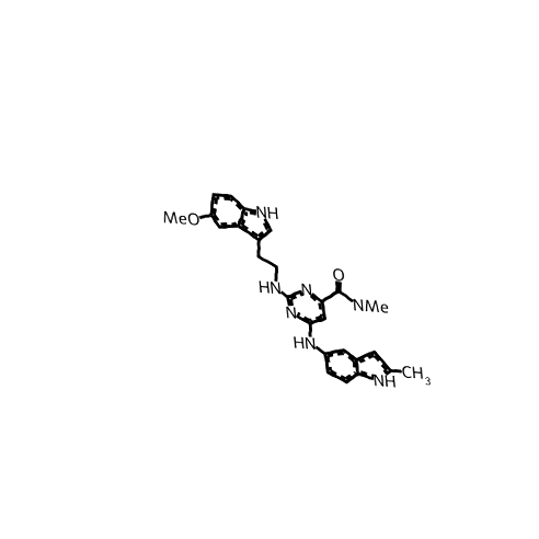 CNC(=O)c1cc(Nc2ccc3[nH]c(C)cc3c2)nc(NCCc2c[nH]c3ccc(OC)cc23)n1